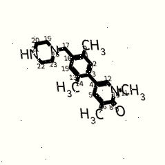 Cc1cc(-c2cc(C)c(=O)n(C)c2)c(C)cc1CN1CCNCC1